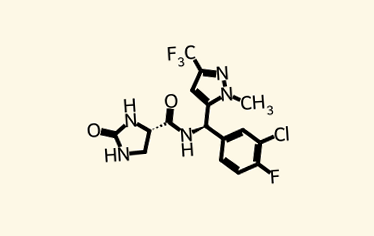 Cn1nc(C(F)(F)F)cc1[C@H](NC(=O)[C@@H]1CNC(=O)N1)c1ccc(F)c(Cl)c1